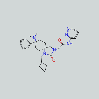 CN(C)[C@]1(c2ccccc2)CC[C@]2(CC1)CN(CC(=O)Nc1cccnn1)C(=O)N2CC1CCC1